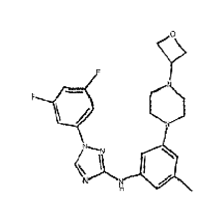 Cc1cc(Nc2ncn(-c3cc(F)cc(F)c3)n2)cc(N2CCN(C3COC3)CC2)c1